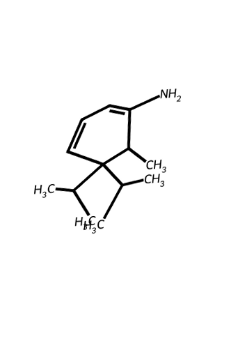 CC(C)C1(C(C)C)C=CC=C(N)C1C